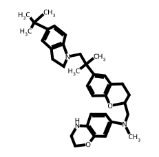 CN(CC1CCc2cc(C(C)(C)CN3CCc4cc(C(C)(C)C)ccc43)ccc2O1)c1ccc2c(c1)OCCN2